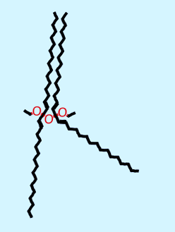 CCCCCCCCCCCCCCC=CC(C=CCCCCCCCCCCCCCC)(OCC)OC(C=CCCCCCCCCCCCCCC)(C=CCCCCCCCCCCCCCC)OCC